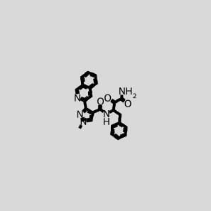 Cn1cc(C(=O)NC(Cc2ccccc2)C(=O)C(N)=O)c(-c2cc3ccccc3cn2)n1